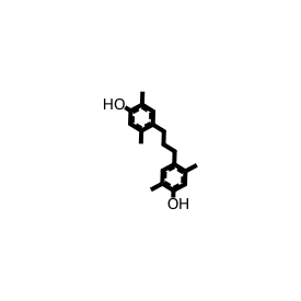 Cc1cc(CCCc2cc(C)c(O)cc2C)c(C)cc1O